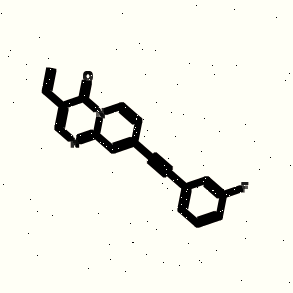 C=Cc1cnc2cc(C#Cc3cccc(F)c3)ccn2c1=O